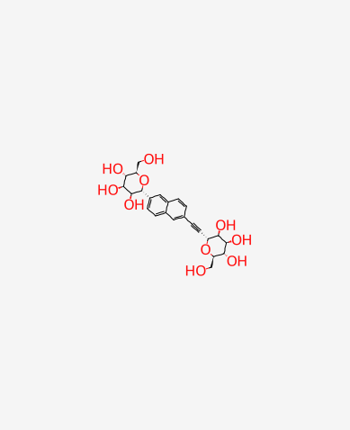 OC[C@H]1O[C@H](c2ccc3cc(C#C[C@H]4O[C@H](CO)[C@@H](O)[C@H](O)[C@@H]4O)ccc3c2)[C@@H](O)[C@@H](O)[C@@H]1O